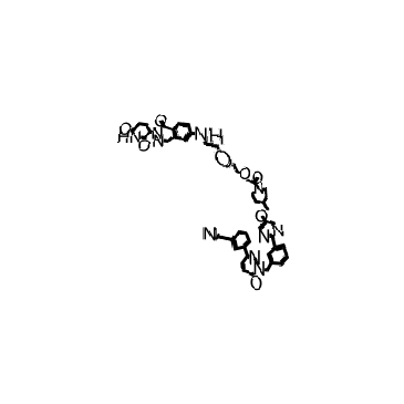 N#Cc1cccc(-c2ccc(=O)n(Cc3cccc(-c4ncc(OCC5CCN(C(=O)COCCOCCNc6ccc7c(=O)n(C8CCC(=O)NC8=O)ncc7c6)CC5)cn4)c3)n2)c1